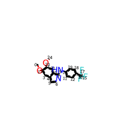 COc1cc2ccnc(Nc3ccc(C(F)(F)F)cc3)c2cc1OC